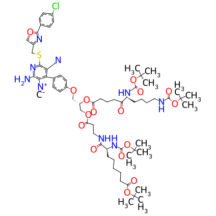 [C-]#[N+]c1c(N)nc(SCc2coc(-c3ccc(Cl)cc3)n2)c(C#N)c1-c1ccc(OC[C@@H](COC(=O)CCNC(=O)[C@H](CCCCCC(=O)OC(C)(C)C)NC(=O)OC(C)(C)C)OC(=O)CCCC(=O)[C@H](CCCCNC(=O)OC(C)(C)C)NC(=O)OC(C)(C)C)cc1